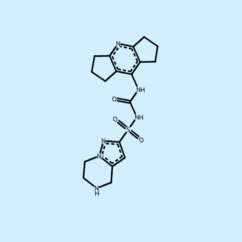 O=C(Nc1c2c(nc3c1CCC3)CCC2)NS(=O)(=O)c1cc2n(n1)CCNC2